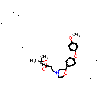 COc1ccc(Oc2ccc(C3CN(CCC(=O)OC(C)(C)C)CCO3)cc2)cc1